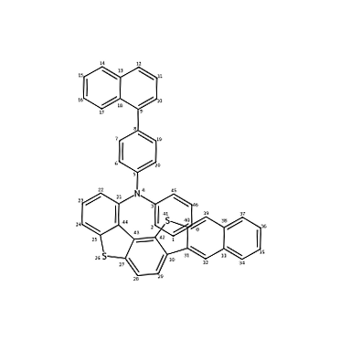 c1ccc(N(c2ccc(-c3cccc4ccccc34)cc2)c2cccc3sc4ccc5c6cc7ccccc7cc6sc5c4c23)cc1